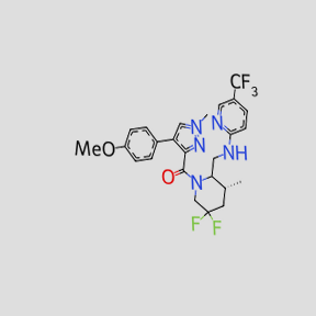 COc1ccc(-c2cn(C)nc2C(=O)N2CC(F)(F)C[C@@H](C)C2CNc2ccc(C(F)(F)F)cn2)cc1